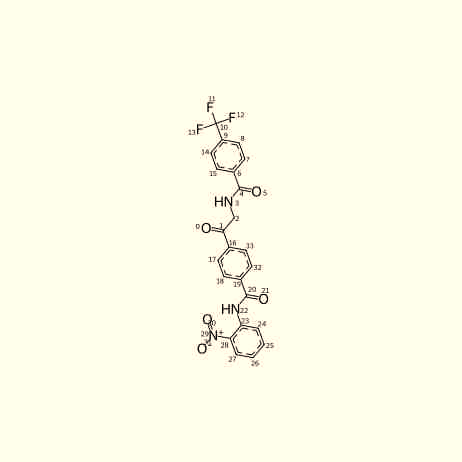 O=C(CNC(=O)c1ccc(C(F)(F)F)cc1)c1ccc(C(=O)Nc2ccccc2[N+](=O)[O-])cc1